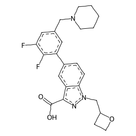 O=C(O)c1nn(CC2CCO2)c2ccc(-c3cc(CN4CCCCC4)cc(F)c3F)cc12